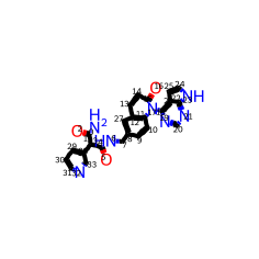 NC(=O)C(C(=O)NCc1ccc2c(ccc(=O)n2-c2ncnc3[nH]ccc23)c1)c1cccnc1